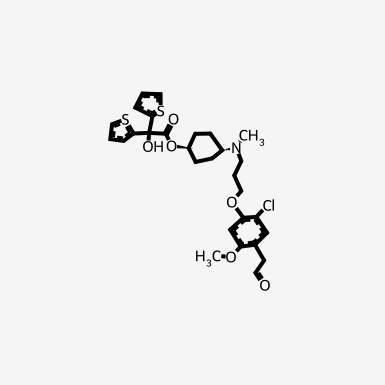 COc1cc(OCCCN(C)[C@H]2CC[C@H](OC(=O)C(O)(c3cccs3)c3cccs3)CC2)c(Cl)cc1CC=O